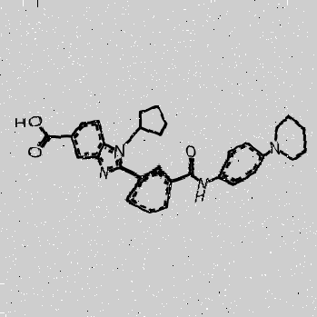 O=C(O)c1ccc2c(c1)nc(-c1cccc(C(=O)Nc3ccc(N4CCCCC4)cc3)c1)n2C1CCCC1